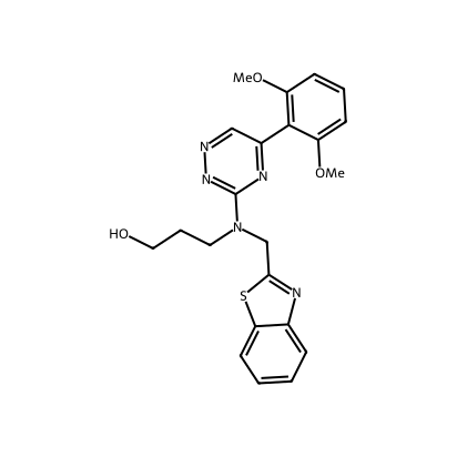 COc1cccc(OC)c1-c1cnnc(N(CCCO)Cc2nc3ccccc3s2)n1